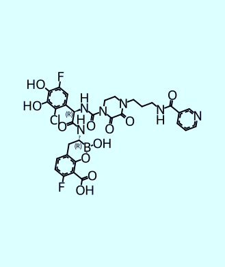 O=C(NCCCN1CCN(C(=O)N[C@@H](C(=O)N[C@H]2Cc3ccc(F)c(C(=O)O)c3OB2O)c2cc(F)c(O)c(O)c2Cl)C(=O)C1=O)c1cccnc1